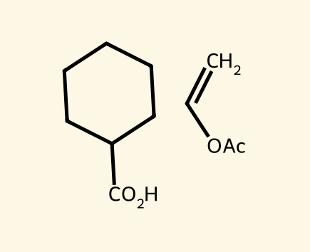 C=COC(C)=O.O=C(O)C1CCCCC1